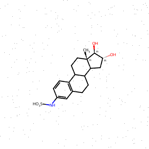 C[C@]12CCC3c4ccc(NS(=O)(=O)O)cc4CCC3C1C[C@@H](O)[C@@H]2O